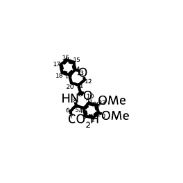 COc1ccc(C(CC(=O)O)NC(=O)C2COc3ccccc3C2)cc1OC